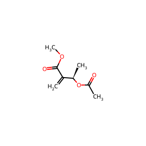 C=C(C(=O)OC)[C@@H](C)OC(C)=O